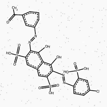 CC(=O)c1cccc(N=Nc2c(S(=O)(=O)O)cc3cc(S(=O)(=O)O)c(N=Nc4ccc(Cl)cc4P(=O)(O)O)c(O)c3c2O)c1